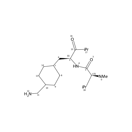 CN[C@H](C(=O)N[C@@H](CC1CCC(CN)CC1)C(=O)C(C)C)C(C)C